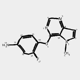 Cn1ccc2ncnc(Oc3ccc(N)cc3F)c21